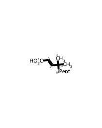 CCCC(C)C(C)(C)C=CC(=O)O